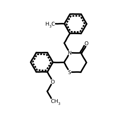 CCOc1ccccc1C1SCCC(=O)N1Cc1ccccc1C